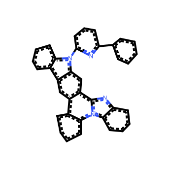 c1ccc(-c2cccc(-n3c4ccccc4c4cc5c6ccccc6n6c7ccccc7nc6c5cc43)n2)cc1